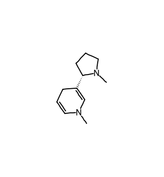 CN1C=CCC([C@@H]2CCCN2C)=C1